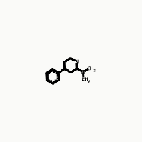 CN(C)C1CC(c2ccccc2)CC[N]1